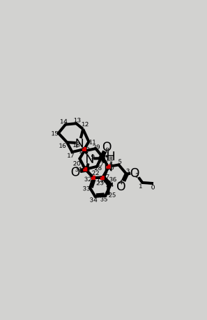 CCOC(=O)Cn1c(=O)n(C2CC3CCCC(C2)N3C2CC3C[C@H](CC)C[C@@H](C3)C2)c(=O)c2ccccc21